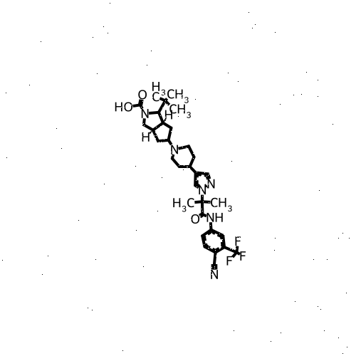 CC(C)(C)C1[C@H]2CC(N3CCC(c4cnn(C(C)(C)C(=O)Nc5ccc(C#N)c(C(F)(F)F)c5)c4)CC3)C[C@H]2CN1C(=O)O